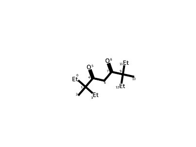 [CH2]CC(C)(CC)C(=O)CC(=O)C(C)(CC)CC